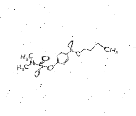 CCCCOC(=O)c1ccc(OS(=O)(=O)N(C)C)cc1